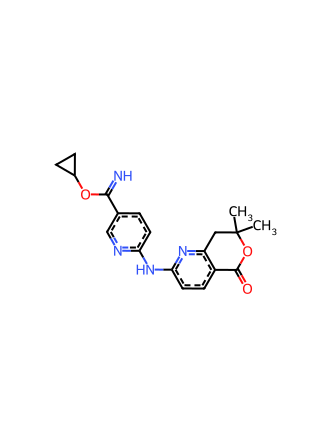 CC1(C)Cc2nc(Nc3ccc(C(=N)OC4CC4)cn3)ccc2C(=O)O1